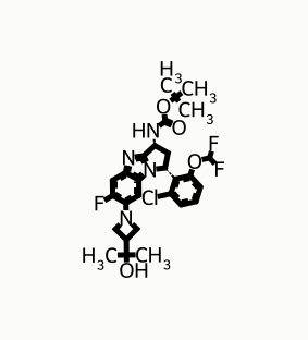 CC(C)(C)OC(=O)N[C@@H]1C[C@H](c2c(Cl)cccc2OC(F)F)n2c1nc1cc(F)c(N3CC(C(C)(C)O)C3)cc12